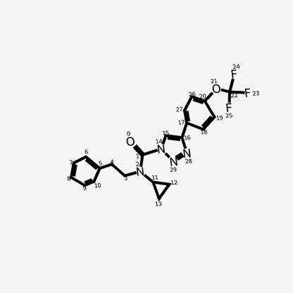 O=C(N(CCc1ccccc1)C1CC1)n1cc(-c2ccc(OC(F)(F)F)cc2)nn1